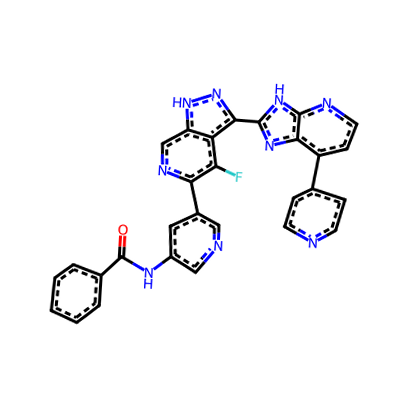 O=C(Nc1cncc(-c2ncc3[nH]nc(-c4nc5c(-c6ccncc6)ccnc5[nH]4)c3c2F)c1)c1ccccc1